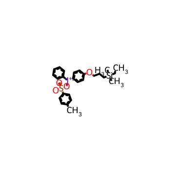 CC[Si](C)(C)CCCOc1ccc([I+](OS(=O)(=O)c2ccc(C)cc2)c2ccccc2)cc1